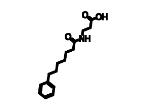 O=C(O)CCNC(=O)CCCCCCc1ccccc1